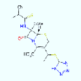 COC1(NC(=S)C(C)C#N)C(=O)N2C(C(=O)O)=C(C(C)Sc3nnn[nH]3)CS[C@H]21